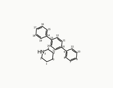 C1CCNCC1.c1ccc(-c2ccc(-c3ccccc3)cc2)cc1